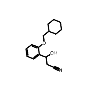 N#CCC(O)c1ccccc1OCC1CCCCC1